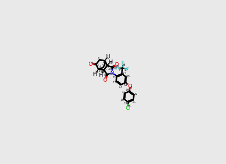 O=C1C[C@H]2CC[C@@H]1[C@H]1C(=O)N(c3ccc(Oc4ccc(Cl)cc4)cc3C(F)(F)F)C(=O)[C@@H]21